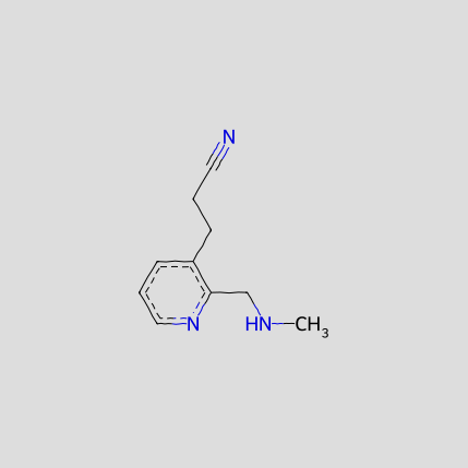 CNCc1ncccc1CCC#N